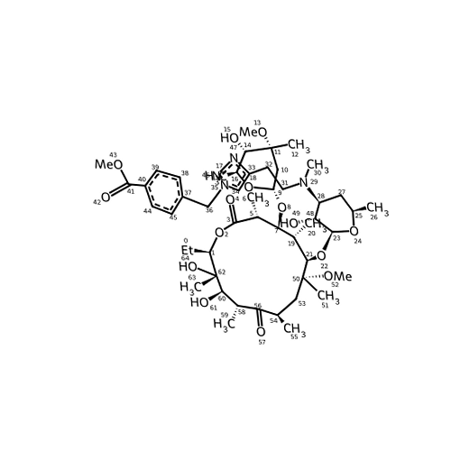 CC[C@H]1OC(=O)[C@H](C)[C@@H](O[C@H]2C[C@@](C)(OC)[C@@H](O)[C@H](C)O2)[C@H](C)[C@@H](O[C@@H]2O[C@H](C)C[C@H](N(C)CCc3cn(Cc4ccc(C(=O)OC)cc4)nn3)[C@H]2O)[C@](C)(OC)C[C@@H](C)C(=O)[C@H](C)[C@@H](O)[C@]1(C)O